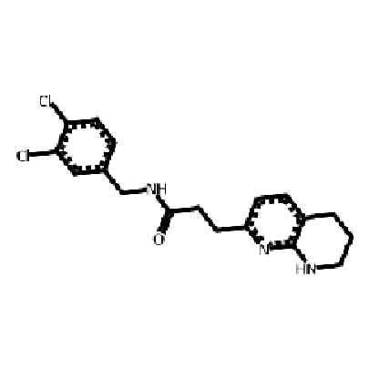 O=C(CCc1ccc2c(n1)NCCC2)NCc1ccc(Cl)c(Cl)c1